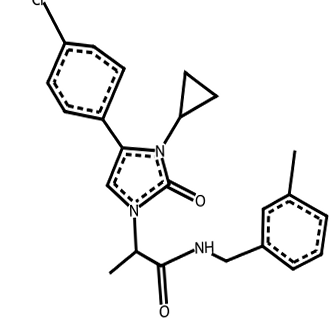 Cc1cccc(CNC(=O)C(C)n2cc(-c3ccc(Cl)cc3)n(C3CC3)c2=O)c1